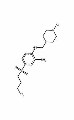 CC(=O)N1CCC(CNc2ccc(S(=O)(=O)CCCC(F)(F)F)cc2N)CC1